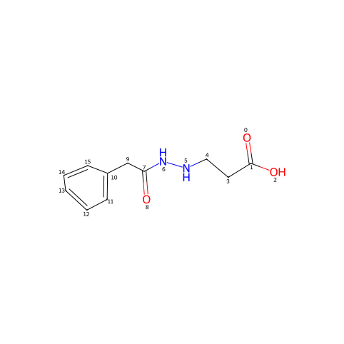 O=C(O)CCNNC(=O)Cc1ccccc1